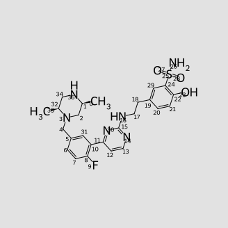 C[C@H]1CN(Cc2ccc(F)c(-c3ccnc(NCCc4ccc(O)c(S(N)(=O)=O)c4)n3)c2)[C@@H](C)CN1